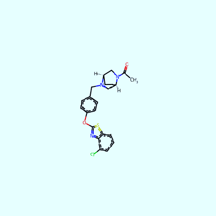 CC(=O)N1C[C@H]2C[C@@H]1CN2Cc1ccc(Oc2nc3c(Cl)cccc3s2)cc1